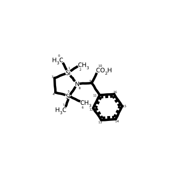 C[Si]1(C)CC[Si](C)(C)N1C(C(=O)O)c1ccccc1